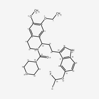 CCOc1cc2c(cc1OC)CCN(C(=O)N1CCOCC1)C2CCc1c[nH]c2ccc(OC(F)F)cc12